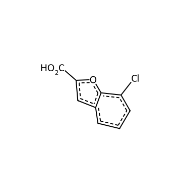 O=C(O)c1cc2cccc(Cl)c2o1